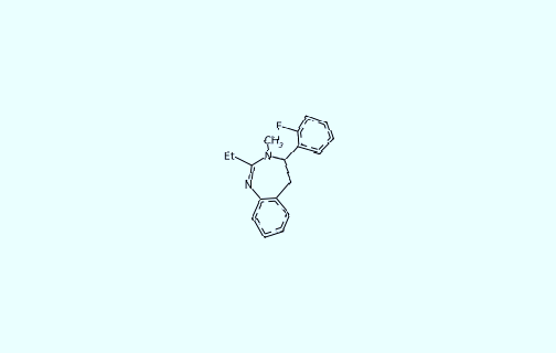 CCC1=Nc2ccccc2CC(c2ccccc2F)N1C